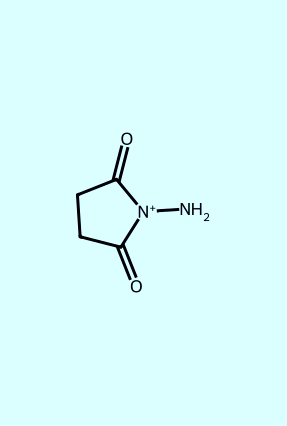 N[N+]1C(=O)CCC1=O